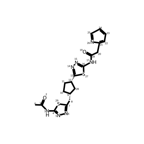 CC(=O)Nc1nnc(C[C@@H]2CC[C@H](c3nnc(NC(=O)Cc4ccccn4)s3)C2)s1